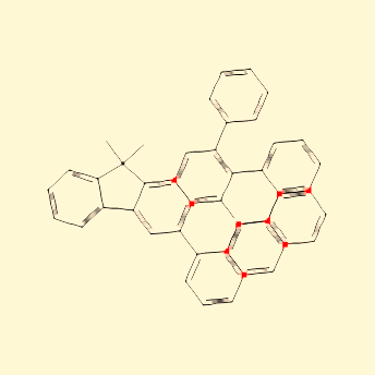 CC1(C)c2ccccc2-c2cc(-c3ccccc3N(c3ccccc3)c3cccc(-c4ccccc4)c3-c3ccccc3-c3ccccc3)ccc21